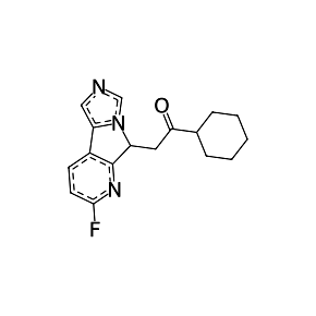 O=C(CC1c2nc(F)ccc2-c2cncn21)C1CCCCC1